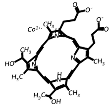 CC1=C(CCC(=O)[O-])c2cc3[nH]c(cc4nc(cc5[nH]c(cc1n2)c(C)c5C(C)O)C(C)=C4C(C)O)c(C)c3CCC(=O)[O-].[Co+2]